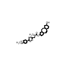 CNc1ccc(-c2nnc(CN(C)C(=O)Oc3ccc4c(c3)CCc3cc(O)ccc3C#C4)nn2)cc1